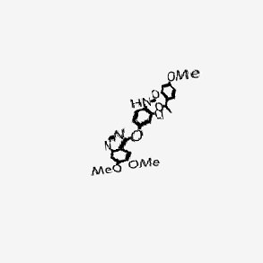 COc1ccc(C(C)OC(=O)Nc2ccc(Oc3ncnc4cc(OC)c(OC)cc34)cc2Cl)cc1